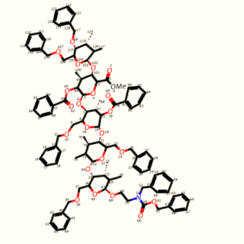 COC(=O)C1O[C@@H](O[C@@H]2C(COCc3ccccc3)O[C@@H](O[C@@H]3C(COCc4ccccc4)O[C@H](O[C@H]4C(COCc5ccccc5)O[C@H](OCCN(Cc5ccccc5)C(=O)OCc5ccccc5)C(C)[C@H]4C)C(C)[C@H]3C)C(OC(=O)c3ccccc3)[C@H]2C)C(OC(=O)c2ccccc2)[C@@H](C)[C@@H]1O[C@H]1OC(COCc2ccccc2)[C@H](OCc2ccccc2)[C@H](C)C1C